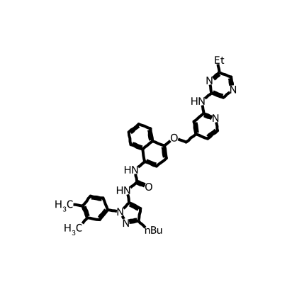 CCCCc1cc(NC(=O)Nc2ccc(OCc3ccnc(Nc4cncc(CC)n4)c3)c3ccccc23)n(-c2ccc(C)c(C)c2)n1